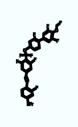 CCCc1ccc(C#Cc2cc(F)c(C(F)(F)Oc3ccc(-c4cc(F)c(OCF)c(F)c4)c(F)c3)c(F)c2)c(F)c1